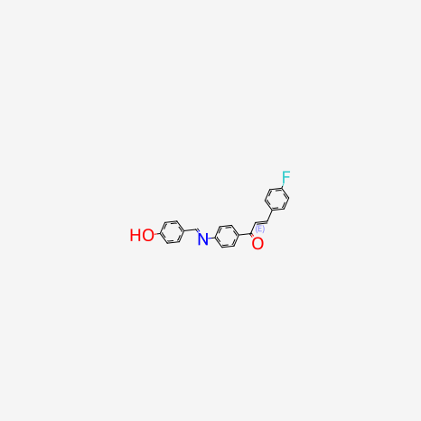 O=C(/C=C/c1ccc(F)cc1)c1ccc(N=Cc2ccc(O)cc2)cc1